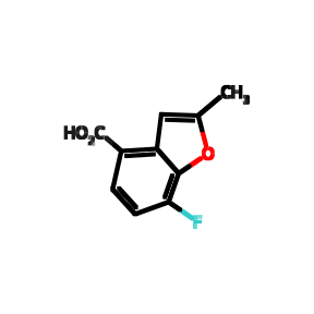 Cc1cc2c(C(=O)O)ccc(F)c2o1